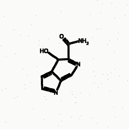 NC(=O)C1=NC=C2N=CC=C2C1O